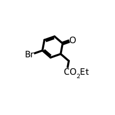 CCOC(=O)CC1C=C(Br)C=CC1=O